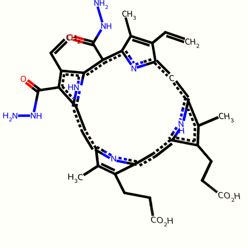 C=CC1=C(C)c2nc1cc1[nH]c(cc3nc(cc4[nH]c(c(C=C)c4C(=O)NN)c2C(=O)NN)C(C)=C3CCC(=O)O)c(CCC(=O)O)c1C